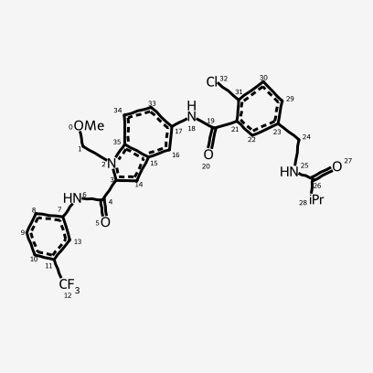 COCn1c(C(=O)Nc2cccc(C(F)(F)F)c2)cc2cc(NC(=O)c3cc(CNC(=O)C(C)C)ccc3Cl)ccc21